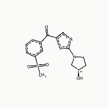 CS(=O)(=O)c1cccc(C(=O)c2cnc(N3CC[C@@H](O)C3)s2)c1